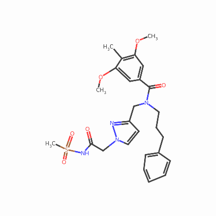 COc1cc(C(=O)N(CCCc2ccccc2)Cc2ccn(CC(=O)NS(C)(=O)=O)n2)cc(OC)c1C